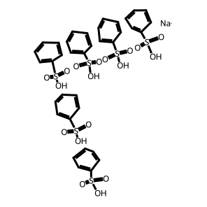 O=S(=O)(O)c1ccccc1.O=S(=O)(O)c1ccccc1.O=S(=O)(O)c1ccccc1.O=S(=O)(O)c1ccccc1.O=S(=O)(O)c1ccccc1.O=S(=O)(O)c1ccccc1.[Na]